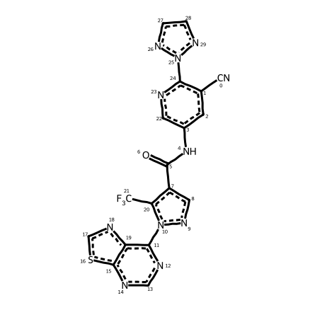 N#Cc1cc(NC(=O)c2cnn(-c3ncnc4scnc34)c2C(F)(F)F)cnc1-n1nccn1